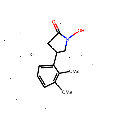 COc1cccc(C2CC(=O)N(O)C2)c1OC.[K]